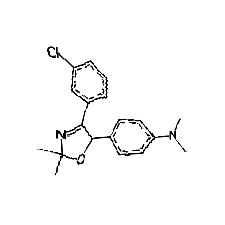 CN(C)c1ccc(C2OC(C)(C)N=C2c2cccc(Cl)c2)cc1